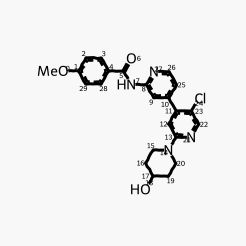 COc1ccc(C(=O)Nc2cc(-c3cc(N4CCC(O)CC4)ncc3Cl)ccn2)cc1